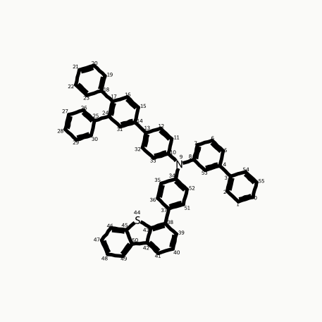 c1ccc(-c2cccc(N(c3ccc(-c4ccc(-c5ccccc5)c(-c5ccccc5)c4)cc3)c3ccc(-c4cccc5c4sc4ccccc45)cc3)c2)cc1